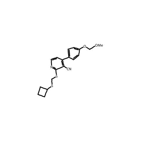 COCOc1ccc(-c2c[c]nc(SCSC3CCC3)c2C#N)cc1